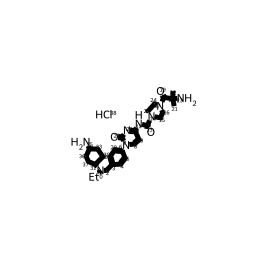 CCN(Cc1ccc(-n2ccc(NC(=O)N3CCN(C(=O)C(C)(C)N)CC3)nc2=O)cc1)C1CCC(N)CC1.Cl